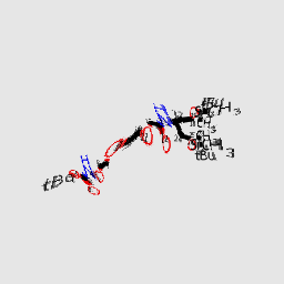 CC(C)(C)OC(=O)NOCCOCCOCC(=O)NC(CCO[Si](C)(C)C(C)(C)C)CCO[Si](C)(C)C(C)(C)C